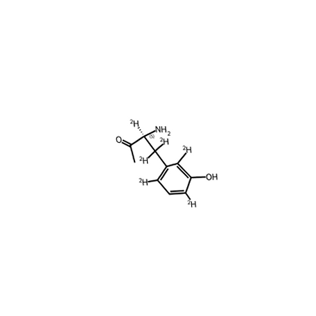 [2H]c1cc([2H])c(C([2H])([2H])[C@]([2H])(N)C(C)=O)c([2H])c1O